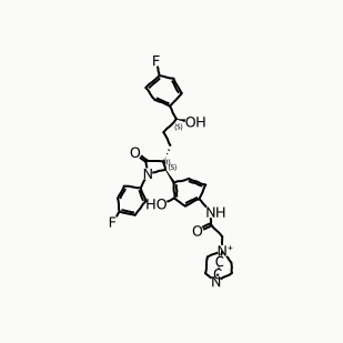 O=C(C[N+]12CCN(CC1)CC2)Nc1ccc([C@@H]2[C@@H](CC[C@H](O)c3ccc(F)cc3)C(=O)N2c2ccc(F)cc2)c(O)c1